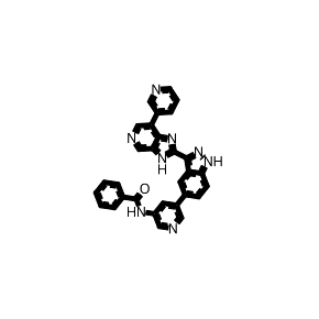 O=C(Nc1cncc(-c2ccc3[nH]nc(-c4nc5c(-c6cccnc6)cncc5[nH]4)c3c2)c1)c1ccccc1